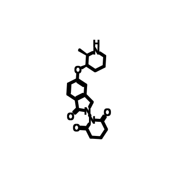 C[C@H]1NCCC[C@H]1Oc1ccc2c(c1)CN(N1C(=O)CCCC1=O)C2=O